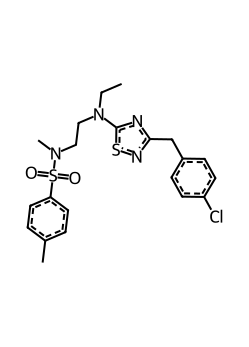 CCN(CCN(C)S(=O)(=O)c1ccc(C)cc1)c1nc(Cc2ccc(Cl)cc2)ns1